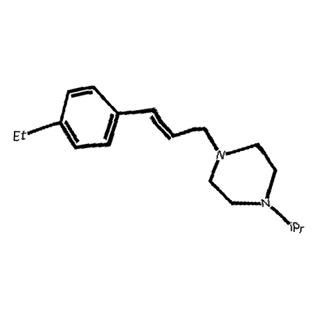 CCc1ccc(/C=C/CN2CCN(C(C)C)CC2)cc1